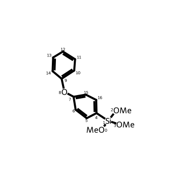 CO[Si](OC)(OC)c1ccc(Oc2ccccc2)cc1